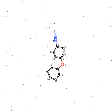 N#[N+]c1ccc(Oc2ccccc2)cc1